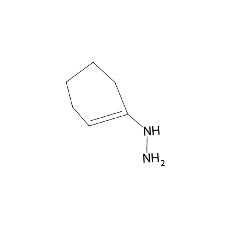 NNC1=CCCCC1